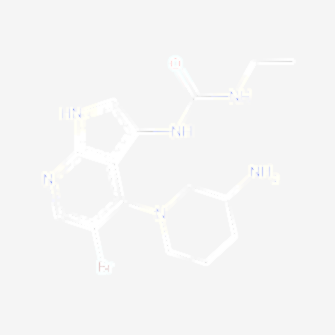 CCNC(=O)Nc1c[nH]c2ncc(Br)c(N3CCCC(N)C3)c12